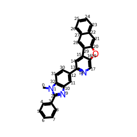 Cn1c(-c2ccccc2)nc2cc(-c3cc4c(cn3)oc3cc5ccccc5cc34)ccc21